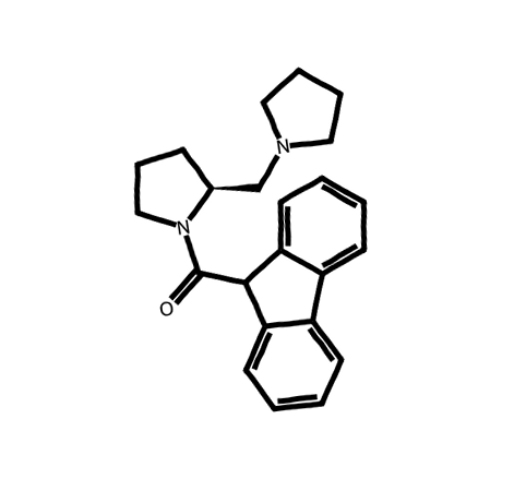 O=C(C1c2ccccc2-c2ccccc21)N1CCC[C@H]1CN1CCCC1